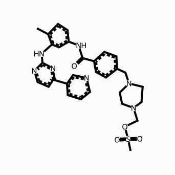 Cc1ccc(NC(=O)c2ccc(CN3CCN(COS(C)(=O)=O)CC3)cc2)cc1Nc1nccc(-c2cccnc2)n1